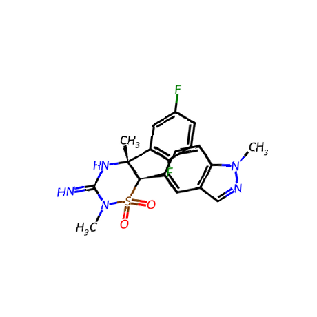 CN1C(=N)N[C@](C)(c2cc(F)ccc2F)[C@@H](c2ccc3c(cnn3C)c2)S1(=O)=O